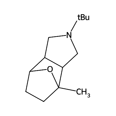 CC12CCC(O1)C1CN(C(C)(C)C)CC12